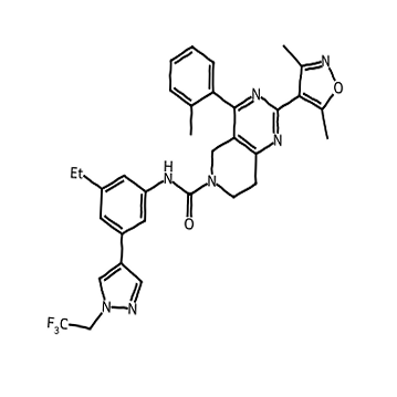 CCc1cc(NC(=O)N2CCc3nc(-c4c(C)noc4C)nc(-c4ccccc4C)c3C2)cc(-c2cnn(CC(F)(F)F)c2)c1